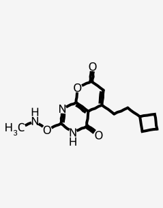 CNOc1nc2oc(=O)cc(CCC3CCC3)c2c(=O)[nH]1